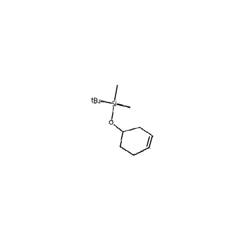 CC(C)(C)[Si](C)(C)OC1CC=[C]CC1